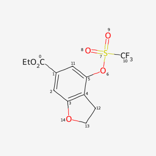 CCOC(=O)c1cc2c(c(OS(=O)(=O)C(F)(F)F)c1)CCO2